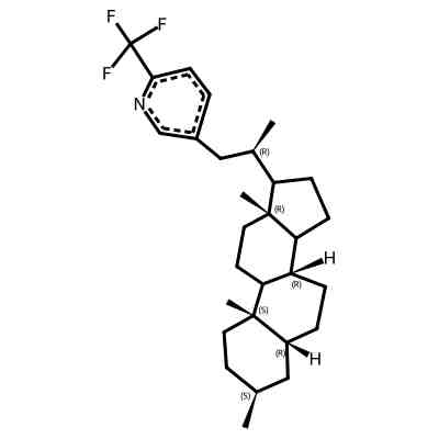 C[C@H]1CC[C@]2(C)C3CC[C@@]4(C)C(CCC4[C@H](C)Cc4ccc(C(F)(F)F)nc4)[C@@H]3CC[C@@H]2C1